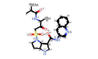 CNC(C)C(=O)NC(C(=O)CS(=O)(=O)N1CCC2NCC(C(=O)Nc3cnc4ccccc4c3)C21)C(C)(C)C